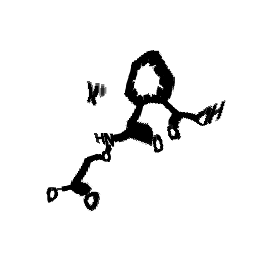 O=C([O-])CONC(=O)c1ccccc1C(=O)O.[K+]